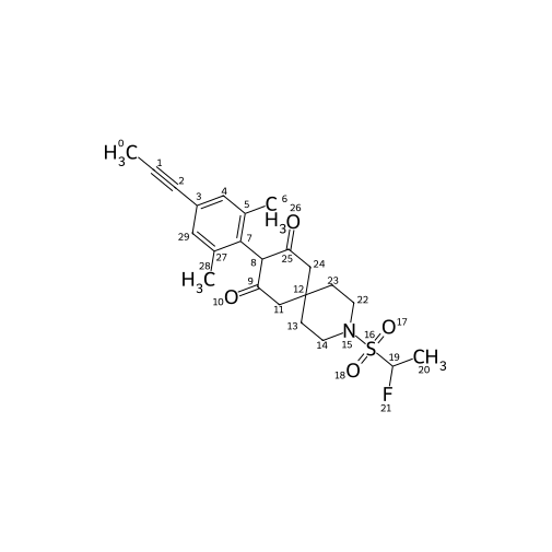 CC#Cc1cc(C)c(C2C(=O)CC3(CCN(S(=O)(=O)C(C)F)CC3)CC2=O)c(C)c1